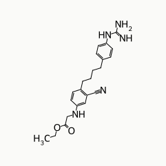 CCOC(=O)CNc1ccc(CCCCc2ccc(NC(=N)N)cc2)c(C#N)c1